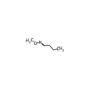 CCCC=NOC